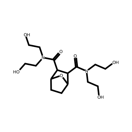 O=C(C1C2CCC(O2)C1C(=O)N(CCO)CCO)N(CCO)CCO